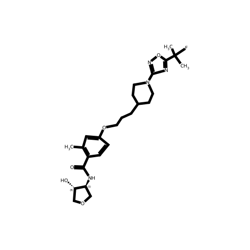 Cc1cc(OCCCC2CCN(c3noc(C(C)(C)F)n3)CC2)ccc1C(=O)N[C@H]1COC[C@@H]1O